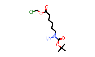 CC(C)(C)OC(=O)N(N)CCCCCC(=O)OCCl